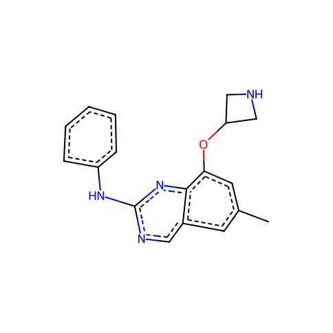 Cc1cc(OC2CNC2)c2nc(Nc3ccccc3)ncc2c1